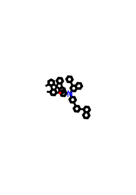 Cc1cccc2c1-c1c(C)ccc(-c3ccc(N(c4ccc(-c5cccc(-c6cccc7ccccc67)c5)cc4)c4cc(-c5ccccc5)c5ccccc5c4)cc3)c1C21c2ccccc2-c2ccccc21